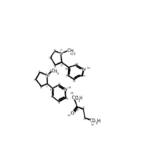 CN1CCCC1c1cccnc1.CN1CCCC1c1cccnc1.O=C(O)CCC(=O)C(=O)O